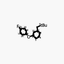 CC(C)(C)Cc1cccc(Oc2ccc(F)cc2)c1